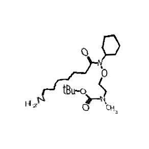 CN(CCON(C(=O)CCCCCCN)C1CCCCC1)C(=O)OC(C)(C)C